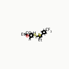 CCc1cc(-c2ccc(C(F)(F)F)cc2)sc1CSc1ccc(OC(CC)C(=O)O)c(C)c1